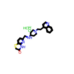 Cl.Cl.O=C1CSc2ccc(CNC3CCN(CCc4ccnc5ccccc45)CC3)nc2N1